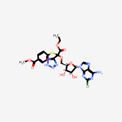 CCOC(=O)C(OC[C@H]1O[C@@H](n2cnc3c(N)nc(Cl)nc32)[C@H](O)[C@@H]1O)(Sc1ccc(C(=O)OC)cc1)c1nn[nH]n1